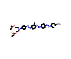 C=CC(=C)OCCN(CCOC(=O)C=C)c1ccc(N=Nc2ccc(N=Nc3ccc(N=NC(/C=C\C(=C)CCCC)=C/C)cc3)c(C)c2)cc1